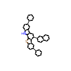 c1ccc(-c2ccc3[nH]c4c(cc(-c5ccc6ccccc6c5)c5c6cc(-c7ccccc7)ccc6sc45)c3c2)cc1